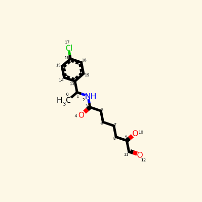 CC(NC(=O)CCCCC(=O)C=O)c1ccc(Cl)cc1